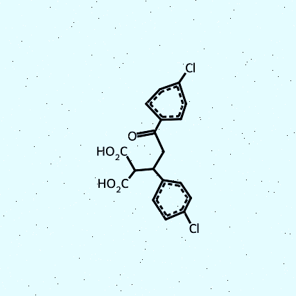 O=C(CC(c1ccc(Cl)cc1)C(C(=O)O)C(=O)O)c1ccc(Cl)cc1